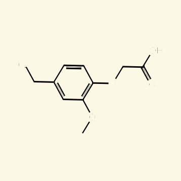 COc1cc(CCl)ccc1OCC(=O)O